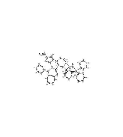 CC(=O)Nc1ncc(C2=C(C(=O)OC(c3ccccc3)c3ccccc3)N3C(=O)C(NC(c4ccccc4)(c4ccccc4)c4ccccc4)C3OC2)s1